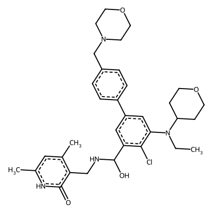 CCN(c1cc(-c2ccc(CN3CCOCC3)cc2)cc(C(O)NCc2c(C)cc(C)[nH]c2=O)c1Cl)C1CCOCC1